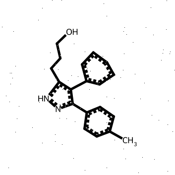 Cc1ccc(-c2n[nH]c(CCCO)c2-c2ccccc2)cc1